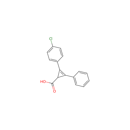 O=C(O)C1C(c2ccccc2)=C1c1ccc(Cl)cc1